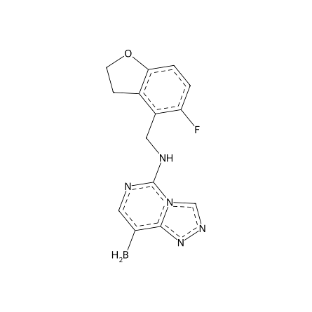 Bc1cnc(NCc2c(F)ccc3c2CCO3)n2cnnc12